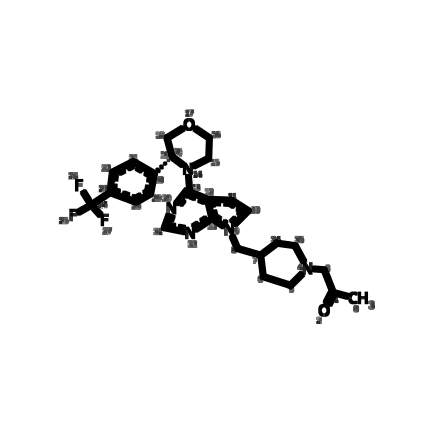 CC(=O)CN1CCC(Cn2ccc3c(N4CCOC[C@H]4c4ccc(C(F)(F)F)cc4)ncnc32)CC1